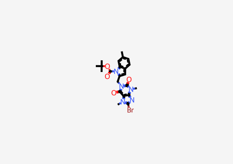 Cc1ccc2cc(Cn3c(=O)c4c(nc(Br)n4C)n(C)c3=O)n(C(=O)OC(C)(C)C)c2c1